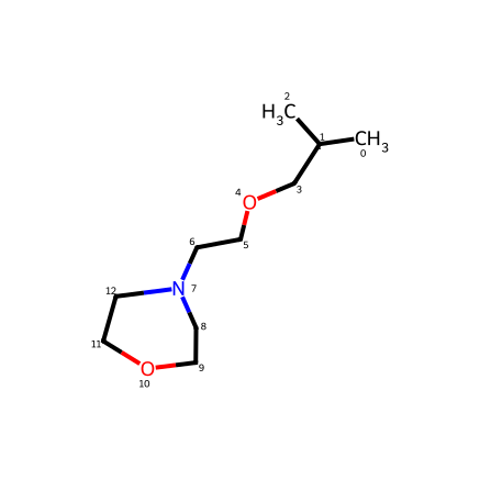 C[C](C)COCCN1CCOCC1